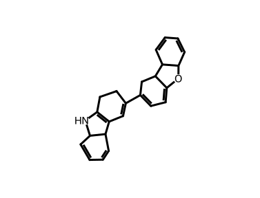 C1=CC2NC3=C(C=C(C4=CC=C5OC6C=CC=CC6C5C4)CC3)C2C=C1